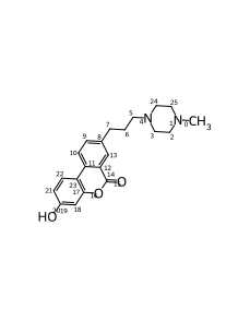 CN1CCN(CCCc2ccc3c(c2)c(=O)oc2cc(O)ccc23)CC1